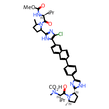 COC(=O)N[C@H](C(=O)N1C(C)CCC1c1nc(Cl)c(-c2ccc3cc(-c4ccc(-c5c[nH]c([C@@H]6CC[C@H](C)N6C(=O)[C@H](C(C)C)N(C)C(=O)O)n5)cc4)ccc3c2)[nH]1)C(C)C